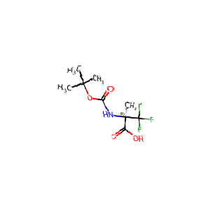 CC(C)(C)OC(=O)N[C@](C)(C(=O)O)C(F)(F)F